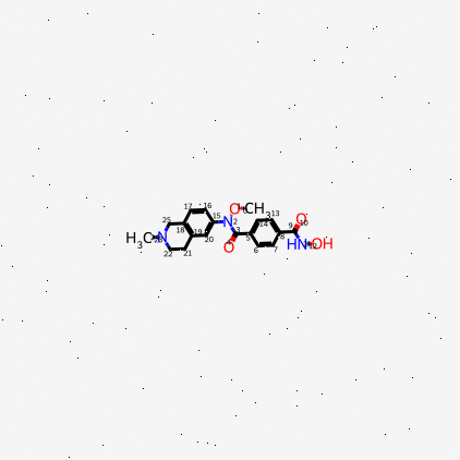 CON(C(=O)c1ccc(C(=O)NO)cc1)c1ccc2c(c1)CCN(C)C2